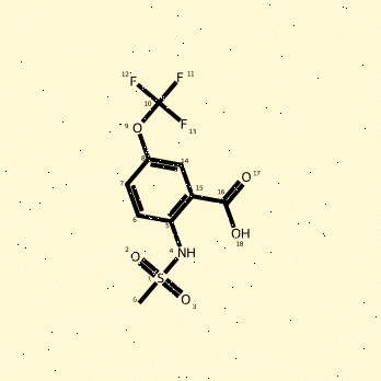 CS(=O)(=O)Nc1ccc(OC(F)(F)F)cc1C(=O)O